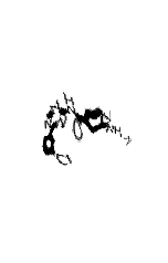 Nc1cc(C(=O)Nc2ncnc(-c3cccc(Cl)c3)n2)ccn1